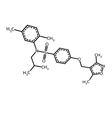 Cc1ccc(C)c(N(CC(C)C)S(=O)(=O)c2ccc(OCc3c(C)noc3C)cc2)c1